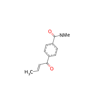 C/C=C/C(=O)c1ccc(C(=O)NC)cc1